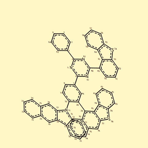 c1ccc(-c2nc(-c3ccc(-n4c5ccccc5c5cc6ccccc6cc54)c(-c4c5ccccc5cc5sc6ccccc6c45)c3)nc(-c3cccc4sc5ccccc5c34)n2)cc1